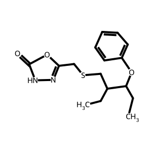 CCC(CSCc1n[nH]c(=O)o1)C(CC)Oc1ccccc1